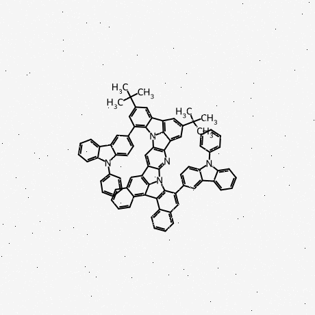 CC(C)(C)c1cc(-c2ccc3c(c2)c2ccccc2n3-c2ccccc2)c2c(c1)c1cc(C(C)(C)C)cc3c4nc5c(cc4n2c13)c1cc2ccccc2c2c3c4ccccc4cc(-c4ccc6c(c4)c4ccccc4n6-c4ccccc4)c3n5c12